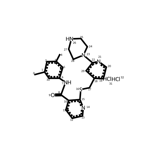 Cc1cc(C)cc(NC(=O)c2cccnc2SCc2ccnc(N3CCNCC3)c2)c1.Cl.Cl